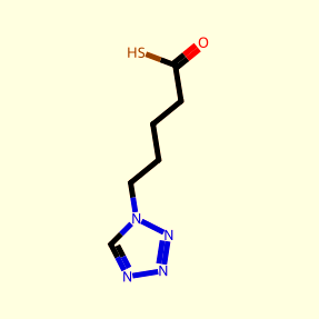 O=C(S)CCCCn1cnnn1